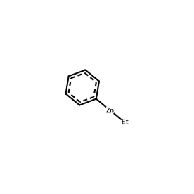 C[CH2][Zn][c]1ccccc1